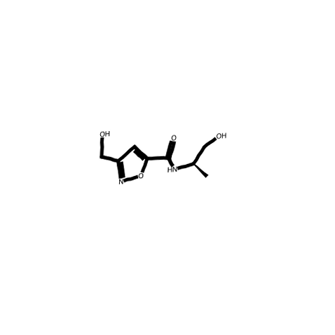 C[C@H](CO)NC(=O)c1cc(CO)no1